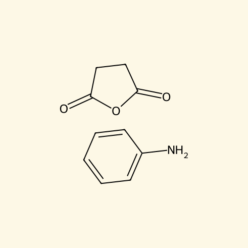 Nc1ccccc1.O=C1CCC(=O)O1